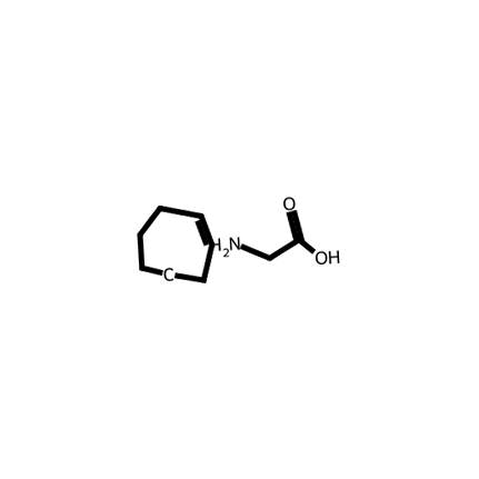 C1=CCCCCC1.NCC(=O)O